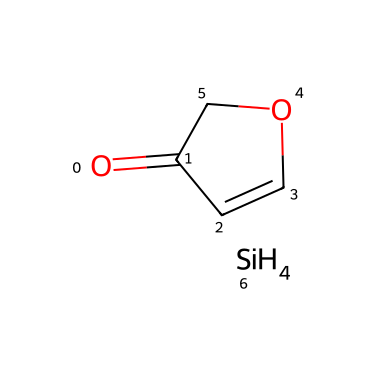 O=C1C=COC1.[SiH4]